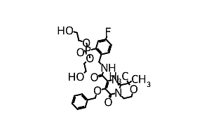 CC1(C)OCCn2c1nc(C(=O)NCc1ccc(F)cc1P(=O)(OCCO)OCCO)c(OCc1ccccc1)c2=O